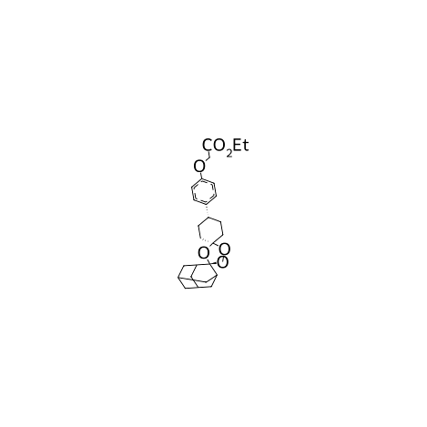 CCOC(=O)COc1ccc([C@H]2CC[C@]3(CC2)OO[C@]2(O3)C3CC4CC(C3)CC2C4)cc1